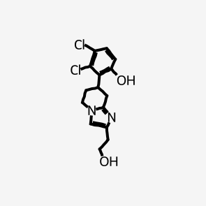 OCCc1cn2c(n1)CC(c1c(O)ccc(Cl)c1Cl)CC2